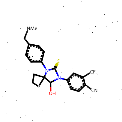 CNCc1ccc(N2C(=S)N(c3ccc(C#N)c(C(F)(F)F)c3)C(O)C23CCC3)cc1